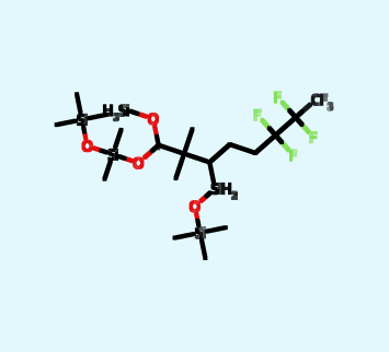 CC(C)([C](O[SiH3])O[Si](C)(C)O[Si](C)(C)C)C(CCC(F)(F)C(F)(F)C(F)(F)F)[SiH2]O[Si](C)(C)C